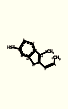 C/C=C\C1=C(C)c2ccc(S)cc2C1